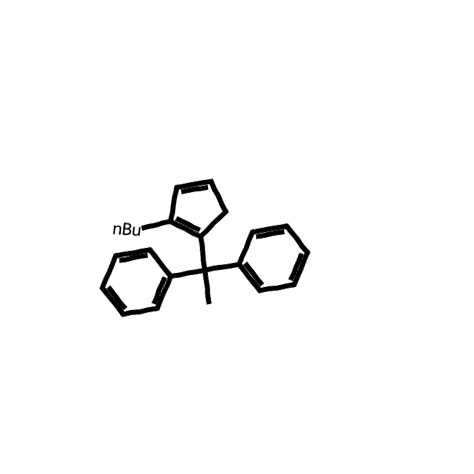 CCCCC1=C(C(C)(c2ccccc2)c2ccccc2)CC=C1